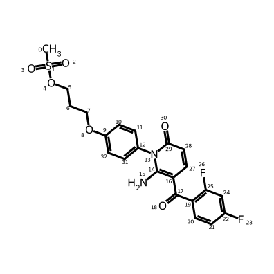 CS(=O)(=O)OCCCOc1ccc(-n2c(N)c(C(=O)c3ccc(F)cc3F)ccc2=O)cc1